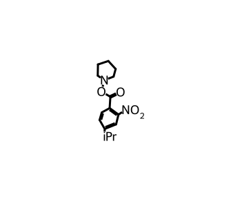 CC(C)c1ccc(C(=O)ON2CCCCC2)c([N+](=O)[O-])c1